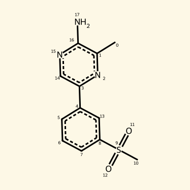 Cc1nc(-c2cccc(S(C)(=O)=O)c2)cnc1N